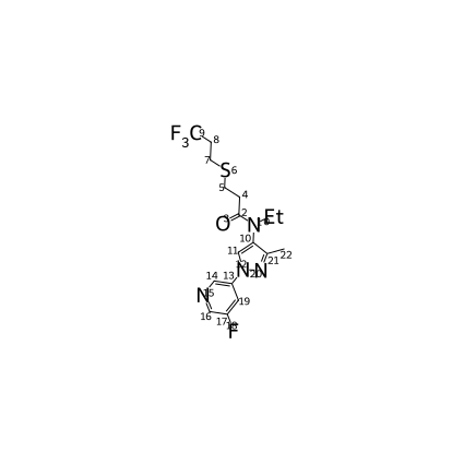 CCN(C(=O)CCSCCC(F)(F)F)c1cn(-c2cncc(F)c2)nc1C